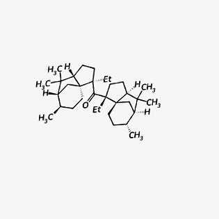 CC[C@@]1(C(=O)[C@]2(CC)CC[C@H]3C(C)(C)[C@@H]4C[C@@]32CC[C@H]4C)CC[C@H]2C(C)(C)[C@@H]3C[C@@]21CC[C@H]3C